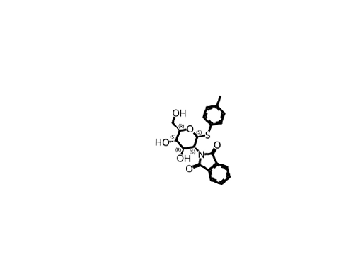 Cc1ccc(S[C@@H]2O[C@H](CO)[C@@H](O)[C@H](O)[C@@H]2N2C(=O)c3ccccc3C2=O)cc1